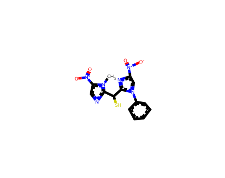 Cn1c([N+](=O)[O-])cnc1C(S)c1nc([N+](=O)[O-])cn1-c1ccccc1